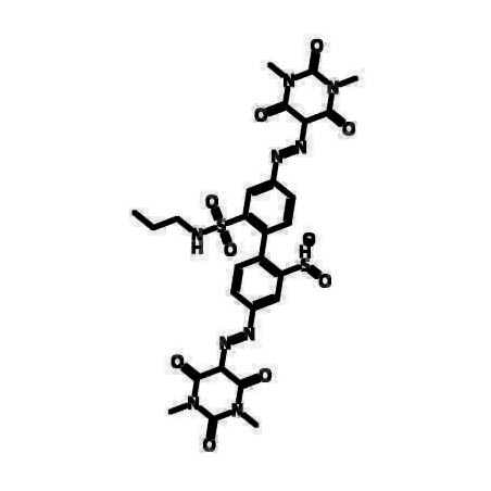 CCCNS(=O)(=O)c1cc(N=NC2C(=O)N(C)C(=O)N(C)C2=O)ccc1-c1ccc(N=NC2C(=O)N(C)C(=O)N(C)C2=O)cc1[SH](=O)=O